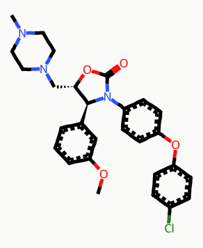 COc1cccc([C@H]2[C@H](CN3CCN(C)CC3)OC(=O)N2c2ccc(Oc3ccc(Cl)cc3)cc2)c1